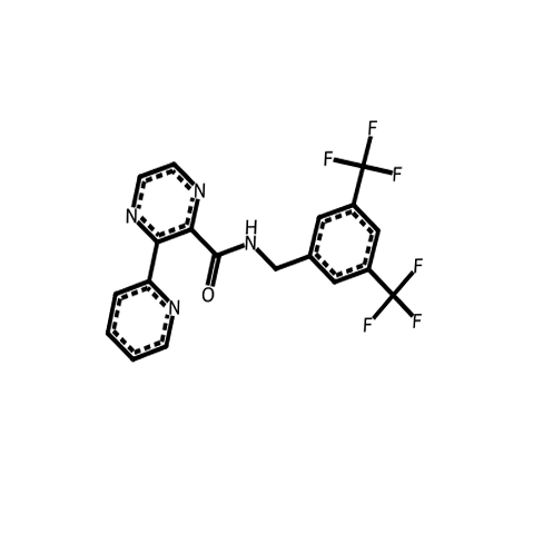 O=C(NCc1cc(C(F)(F)F)cc(C(F)(F)F)c1)c1nccnc1-c1ccccn1